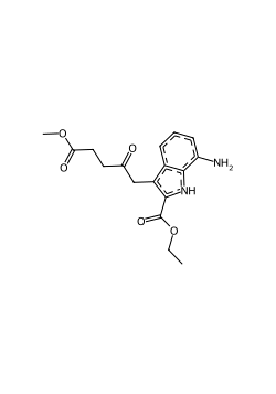 CCOC(=O)c1[nH]c2c(N)cccc2c1CC(=O)CCC(=O)OC